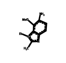 CCn1c(C)nc2ccc(N)c(OC)c21